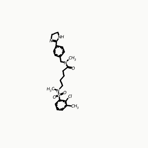 Cc1cccc(S(=O)(=O)N(C)CCCCC(=O)N(C)Cc2ccc(C3=NCCN3)cc2)c1Cl